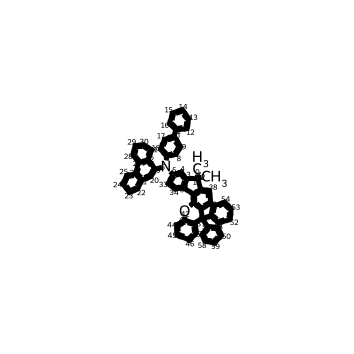 CC1(C)c2cc(N(c3ccc(-c4ccccc4)cc3)c3cc4ccccc4c4ccccc34)ccc2-c2c1ccc1c2Oc2ccccc2C1(c1ccccc1)c1ccccc1